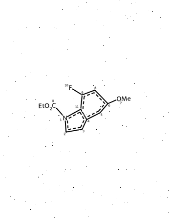 CCOC(=O)n1ccc2cc(OC)cc(F)c21